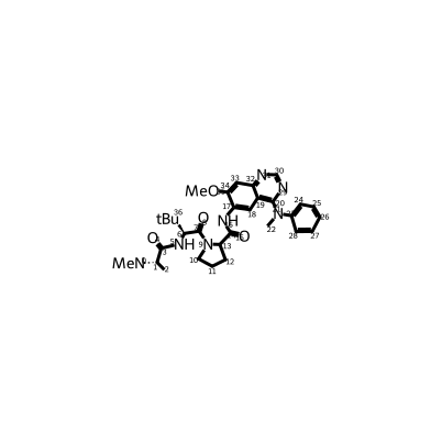 CN[C@@H](C)C(=O)N[C@H](C(=O)N1CCCC1C(=O)Nc1cc2c(N(C)c3ccccc3)ncnc2cc1OC)C(C)(C)C